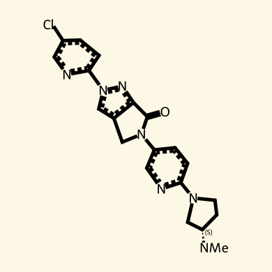 CN[C@H]1CCN(c2ccc(N3Cc4cn(-c5ccc(Cl)cn5)nc4C3=O)cn2)C1